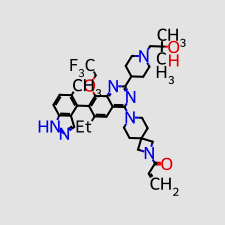 C=CC(=O)N1CC2(CCN(c3nc(C4CCN(CC(C)(C)O)CC4)nc4c(OCC(F)(F)F)c(-c5c(C)ccc6[nH]ncc56)c(CC)cc34)CC2)C1